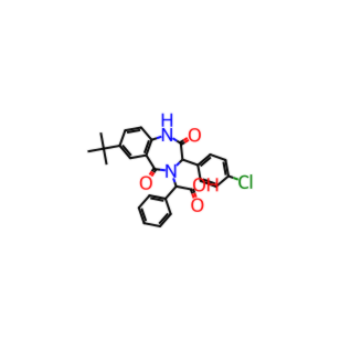 CC(C)(C)c1ccc2c(c1)C(=O)N(C(C(=O)O)c1ccccc1)C(c1ccc(Cl)cc1)C(=O)N2